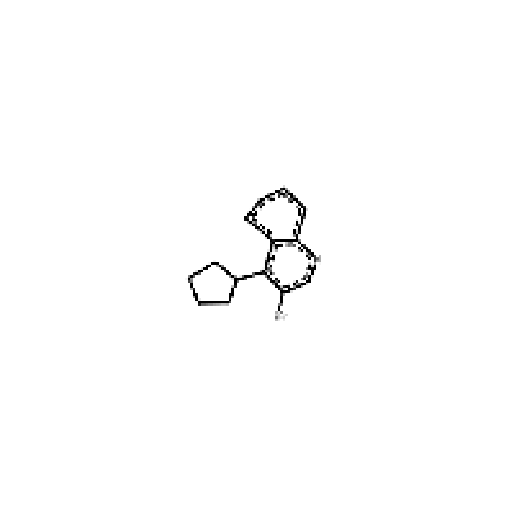 CC(C)c1cnc2ccccc2c1C1CCCC1